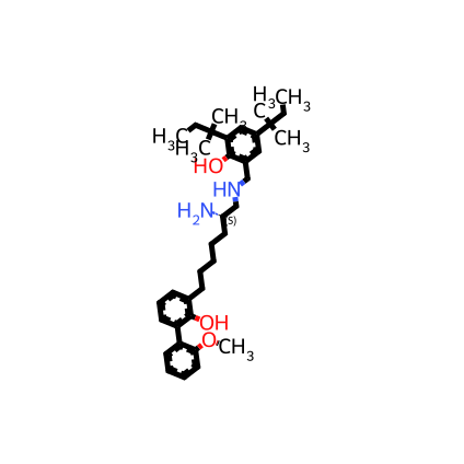 CCC(C)(C)c1cc(CNC[C@@H](N)CCCCCc2cccc(-c3ccccc3OC)c2O)c(O)c(C(C)(C)CC)c1